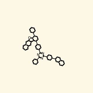 c1ccc(-c2nc(-c3ccc(-c4ccc5ccccc5c4)cc3)nc(-c3ccc(-c4ccc(-c5ccccc5)c5oc6cc7ccccc7cc6c45)cc3)n2)cc1